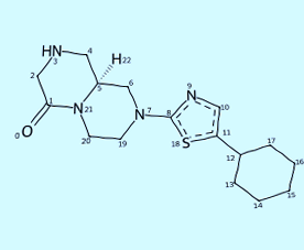 O=C1CNC[C@H]2CN(c3ncc(C4CCCCC4)s3)CCN12